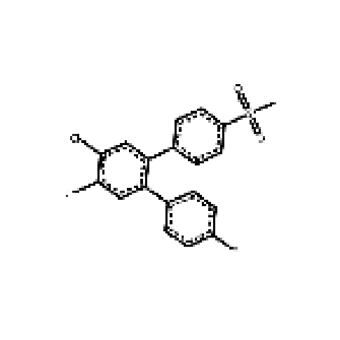 CS(=O)(=O)c1ccc(-c2cc(Cl)c(Cl)cc2-c2ccc(F)cc2)cc1